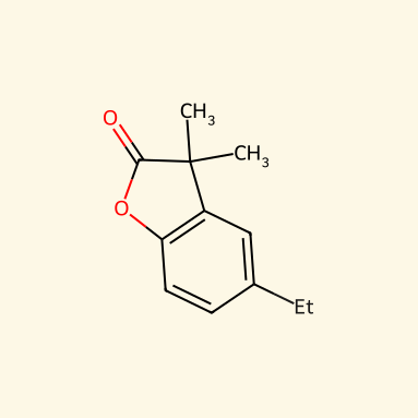 CCc1ccc2c(c1)C(C)(C)C(=O)O2